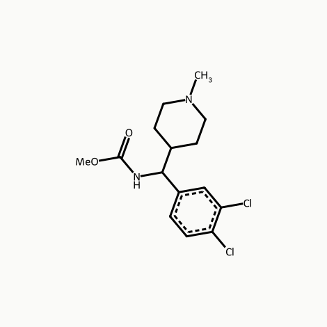 COC(=O)NC(c1ccc(Cl)c(Cl)c1)C1CCN(C)CC1